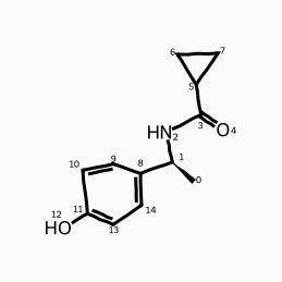 C[C@H](NC(=O)C1CC1)c1ccc(O)cc1